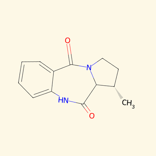 C[C@H]1CCN2C(=O)c3ccccc3NC(=O)C12